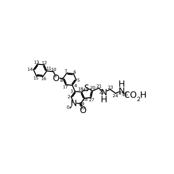 Cn1cc(-c2cccc(OCc3ccccc3)c2)c2sc(CNCCNC(=O)O)cc2c1=O